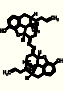 C=CCN1C2=C/C(=N\N=C3/CC4C[C@]56c7c(ccc(O)c7O[C@@H]35)C[C@@H](N4CC=C)[C@@]6(C)O)[C@@H]3Oc4c(O)ccc5c4[C@]3(C2)[C@@H](C)[C@H]1C5